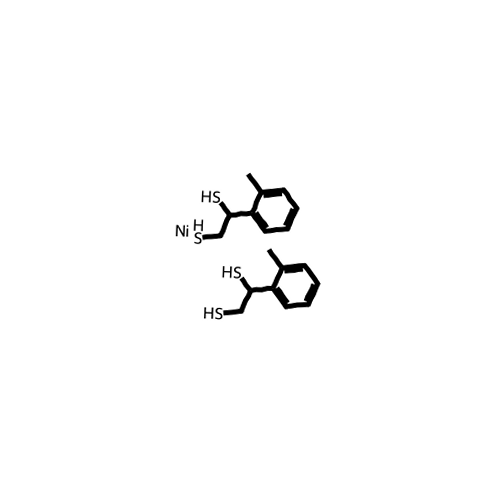 Cc1ccccc1C(S)CS.Cc1ccccc1C(S)CS.[Ni]